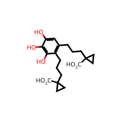 O=C(O)C1(CCCc2cc(O)c(O)c(O)c2CCCC2(C(=O)O)CC2)CC1